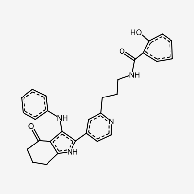 O=C(NCCCc1cc(-c2[nH]c3c(c2Nc2ccccc2)C(=O)CCC3)ccn1)c1ccccc1O